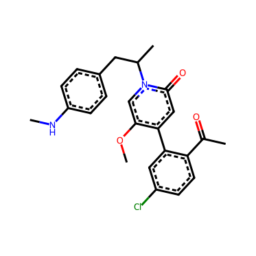 CNc1ccc(CC(C)n2cc(OC)c(-c3cc(Cl)ccc3C(C)=O)cc2=O)cc1